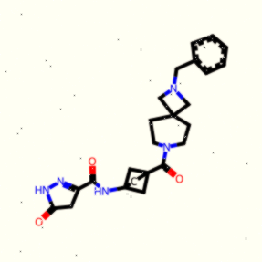 O=C1CC(C(=O)NC23CC(C(=O)N4CCC5(CC4)CN(Cc4ccccc4)C5)(C2)C3)=NN1